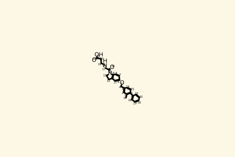 Cc1cc(COc2ccc3c(c2)CCN3C(=O)CNCCC(=O)O)ccc1-c1ccccc1